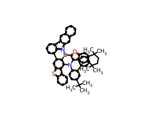 CC(C)(C)c1ccc(N2c3c(oc4cc5c(cc34)C(C)(C)CCC5(C)C)B3c4c(cc5sc6ccccc6c5c42)-c2cccc4c5cc6ccccc6cc5n3c24)c(-c2ccccc2)c1